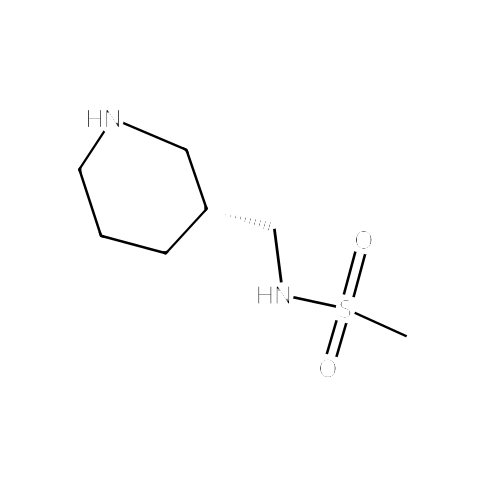 CS(=O)(=O)NC[C@@H]1CCCNC1